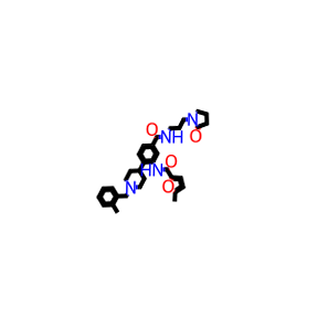 Cc1ccc(C(=O)Nc2cc(C(=O)NCCCN3CCCC3=O)ccc2C2CCN(Cc3ccccc3C)CC2)o1